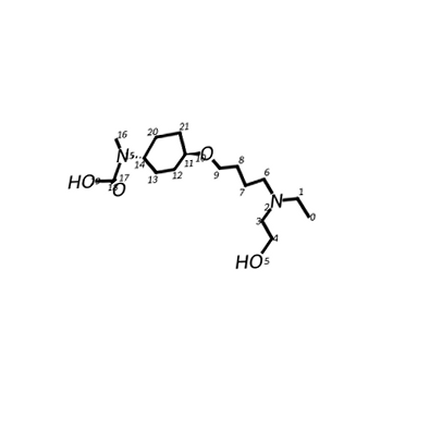 CCN(CCO)CCCCO[C@H]1CC[C@H](N(C)C(=O)O)CC1